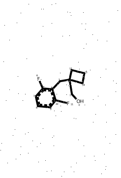 OCC1(Cc2c(F)cccc2F)CCC1